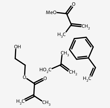 C=C(C)C(=O)O.C=C(C)C(=O)OC.C=C(C)C(=O)OCCO.C=Cc1ccccc1